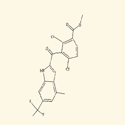 COC(=O)c1ccc(Cl)c(C(=O)c2cc3c(C)cc(C(C)(F)F)cc3[nH]2)c1Cl